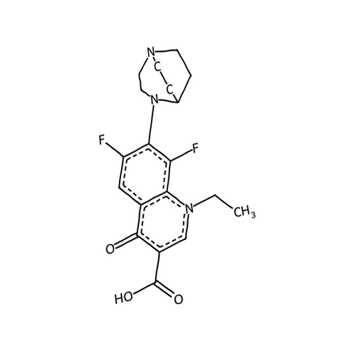 CCn1cc(C(=O)O)c(=O)c2cc(F)c(N3CCN4CCC3CC4)c(F)c21